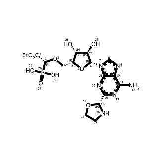 CCOC(=O)[C@H](OC[C@H]1O[C@@H](n2cnc3c(N)nc([C@@H]4NCCO4)nc32)[C@H](O)[C@H]1O)P(=O)(O)O